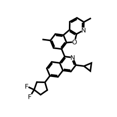 Cc1cc(-c2nc(C3CC3)cc3cc(C4CCC(F)(F)C4)ccc23)c2oc3nc(C)ccc3c2c1